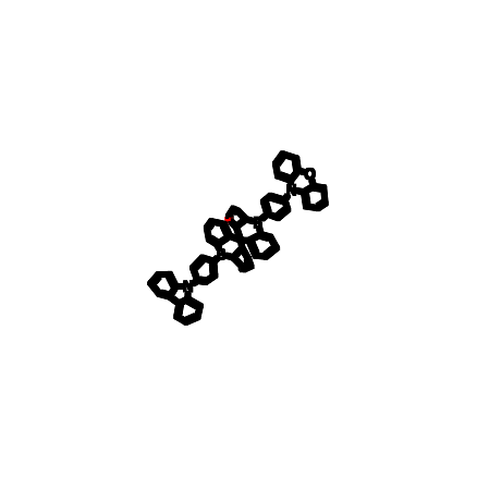 C1=CC2B(c3ccc(N4c5ccccc5Oc5ccccc54)cc3)c3ccccc3C3(c4ccccc4B(c4ccc(-n5c6ccccc6c6ccccc65)cc4)C4C=CC=CC43)C2C=C1